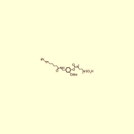 COc1cc(CNC(=O)CCCC/C=C/C(C)C)ccc1OC(=O)N(C)CCN(C)S(=O)(=O)O